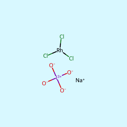 [Cl][Rh]([Cl])[Cl].[Na+].[O-][I+3]([O-])([O-])[O-]